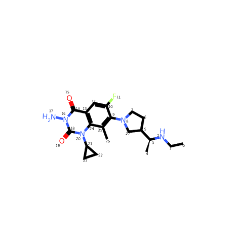 CCN[C@@H](C)C1CCN(c2c(F)cc3c(=O)n(N)c(=O)n(C4CC4)c3c2C)C1